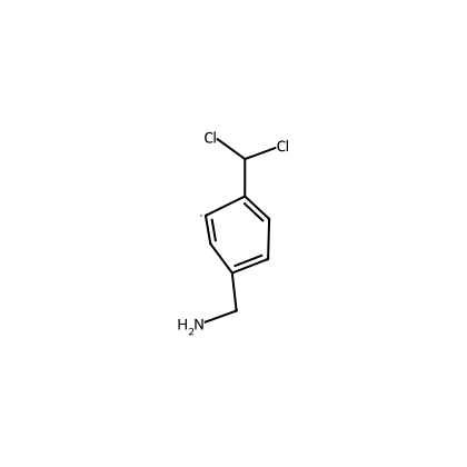 NCc1c[c]c(C(Cl)Cl)cc1